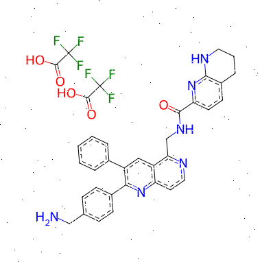 NCc1ccc(-c2nc3ccnc(CNC(=O)c4ccc5c(n4)NCCC5)c3cc2-c2ccccc2)cc1.O=C(O)C(F)(F)F.O=C(O)C(F)(F)F